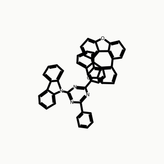 c1ccc(-c2nc(-c3cccc(-c4cccc5oc6cccc(-c7cccc8oc9ccccc9c78)c6c45)c3)nc(-n3c4ccccc4c4ccccc43)n2)cc1